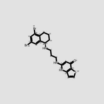 O=c1cc(NCCCN[C@@H]2CCCc3c(Br)cc(Br)cc32)[nH]c2ccsc12